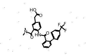 CN(C)C(=O)c1cc(CC(=O)O)ccc1NC(=O)c1ccccc1-c1ccc(C(F)(F)F)cc1